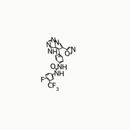 Nc1ncnn2cc(-c3cnco3)c(-c3ccc(NC(=O)Nc4ccc(F)c(C(F)(F)F)c4)cc3)c12